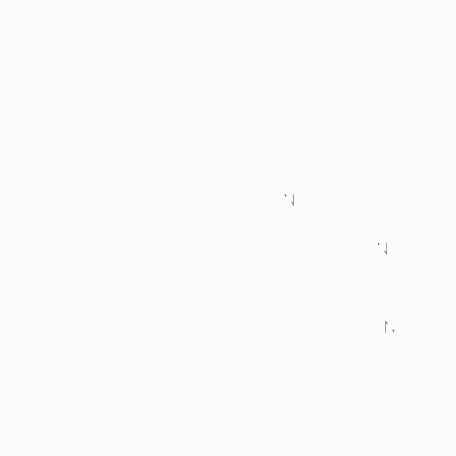 Cn1cnc2c(-n3c4ccccc4c4ccc5c(c43)C(C)(C)c3ccccc3-5)cccc21